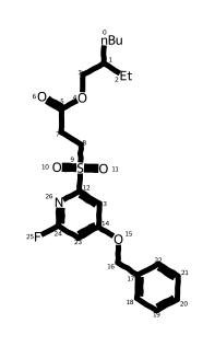 CCCCC(CC)COC(=O)CCS(=O)(=O)c1cc(OCc2ccccc2)cc(F)n1